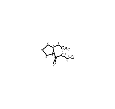 CC(=O)OC[C@@H]1CCCN1C(=O)OCCl